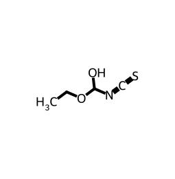 CCOC(O)N=C=S